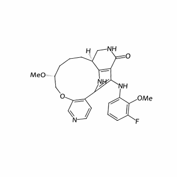 COc1c(F)cccc1Nc1c2[nH]c3c1C(=O)NC[C@@H]3CCC[C@@H](OC)COc1cnccc1-2